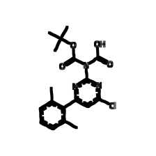 Cc1cccc(C)c1-c1cc(Cl)nc(N(C(=O)O)C(=O)OC(C)(C)C)n1